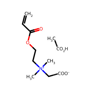 C=CC(=O)OCC[N+](C)(C)CC(=O)[O-].CC(=O)O